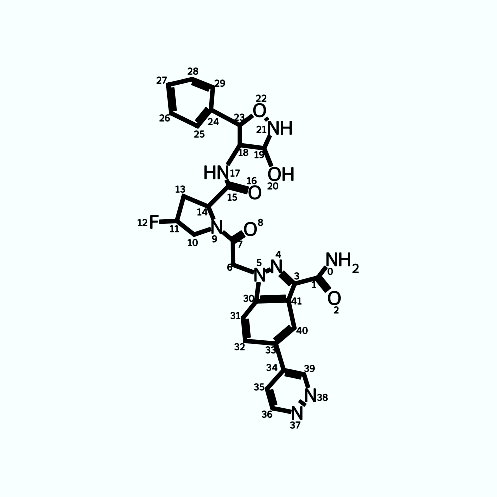 NC(=O)c1nn(CC(=O)N2CC(F)CC2C(=O)NC2C(O)NOC2c2ccccc2)c2ccc(-c3ccnnc3)cc12